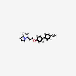 CC(=O)OC1CCCN1CCCOc1ccc(-c2ccc(C#N)cc2)cc1